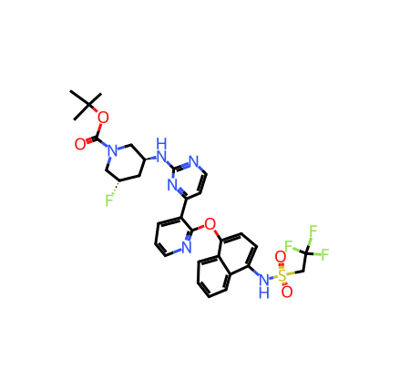 CC(C)(C)OC(=O)N1C[C@@H](F)C[C@H](Nc2nccc(-c3cccnc3Oc3ccc(NS(=O)(=O)CC(F)(F)F)c4ccccc34)n2)C1